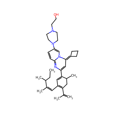 C=C(C)C1=C(/C=C(/C)C(C)CC)C=C(C2=CC(=C3CCC3)N3C=C(N4CCN(CCO)CC4)C=CC3=N2)C(C)C1